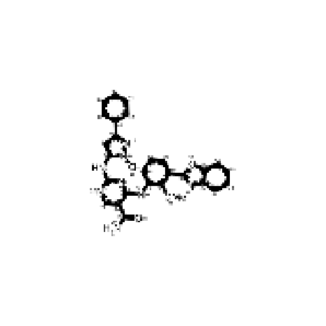 COc1c(Nc2nc(Nc3cc(-c4ccccc4)nn3C)ncc2C(N)=O)cccc1-c1nc2ccccc2o1